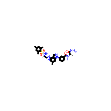 Cc1cc(C)c(S(=O)(=O)N[C@@H](C)CNc2cc(C)cc3c2cnn3-c2cccc(C(=O)N[C@H](C)C(N)=O)c2)c(C)c1